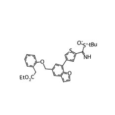 CCOC(=O)Cc1ccccc1OCc1cc(-c2csc(C(=N)[S+]([O-])C(C)(C)C)c2)c2occc2c1